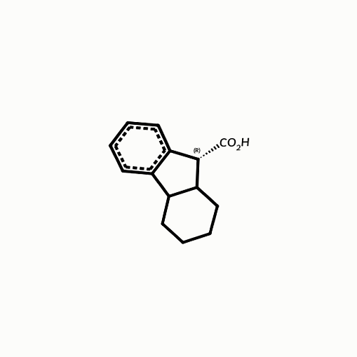 O=C(O)[C@H]1c2ccccc2C2CCCCC21